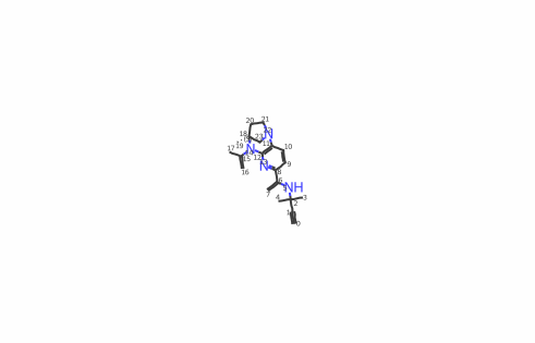 C#CC(C)(C)NC(=C)c1ccc2c(n1)N(C(=C)C)[C@@]1(C)CCN2C1